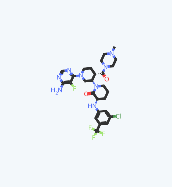 CN1CCN(C(=O)[C@H]2CCN(c3ncnc(N)c3F)C[C@@H]2N2CCC[C@@H](Nc3cc(Cl)cc(C(F)(F)F)c3)C2=O)CC1